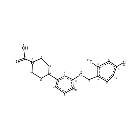 O=C(O)N1CCC(c2ccnc(OCc3ccc(Cl)cc3F)n2)CC1